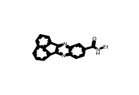 CCNC(=O)c1ccc2nc3c(nc2c1)-c1cccc2cccc-3c12